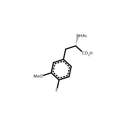 COc1cc(C[C@H](NC(C)=O)C(=O)O)ccc1F